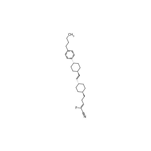 CCCCc1ccc([C@H]2CC[C@H](/C=C/[C@H]3CC[C@H](CCC=C(F)C#N)CC3)CC2)cc1